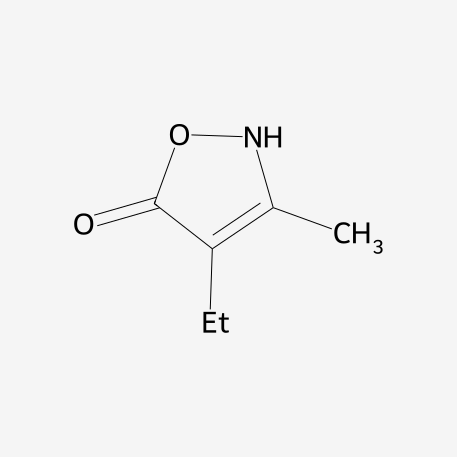 CCc1c(C)[nH]oc1=O